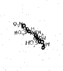 Cc1cc(N=Nc2c(S(=O)(=O)O)cc3cc(Nc4ccccc4)ccc3c2O)c(O)cc1N=Nc1ccc(C=Cc2ccc([N+](=O)[O-])cc2S(=O)(=O)O)c(S(=O)(=O)O)c1